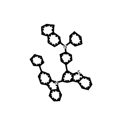 c1ccc(-c2ccc3c4ccccc4n(-c4cc(-c5ccc(N(c6ccccc6)c6ccc7ccccc7c6)cc5)c5sc6ccccc6c5c4)c3c2)cc1